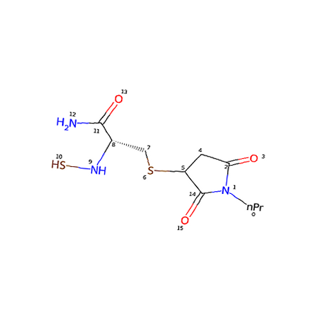 CCCN1C(=O)CC(SC[C@H](NS)C(N)=O)C1=O